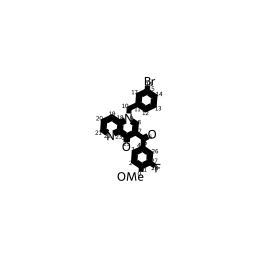 COc1ccc(C(=O)c2cn(Cc3cccc(Br)c3)c3cccnc3c2=O)cc1F